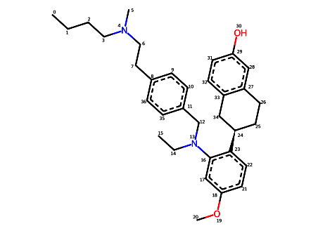 CCCCN(C)CCc1ccc(CN(CC)c2cc(OC)ccc2[C@@H]2CCc3cc(O)ccc3C2)cc1